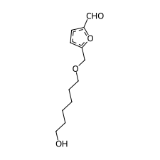 O=Cc1ccc(COCCCCCCO)o1